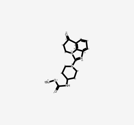 CC(C)(C)OC(=O)NC1CCN(c2nc3cccc4c3n2CCC4=O)CC1